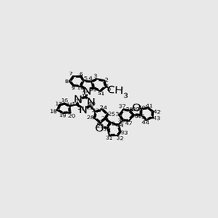 Cc1ccc2c3ccccc3n(-c3nc(-c4ccccc4)nc(-c4ccc5c(c4)oc4cccc(-c6ccc7oc8ccccc8c7c6)c45)n3)c2c1